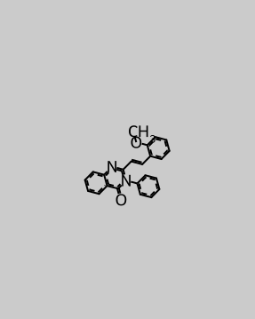 COc1ccccc1C=Cc1nc2ccccc2c(=O)n1-c1ccccc1